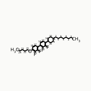 CCCCCCCCC1CCC(c2ccc(-c3ccc(OCCCCC)c(F)c3F)c(F)c2F)CC1